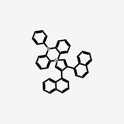 C1=C(c2cccc3ccccc23)C(c2cccc3ccccc23)=C[Si]12c1ccccc1B(c1ccccc1)c1ccccc12